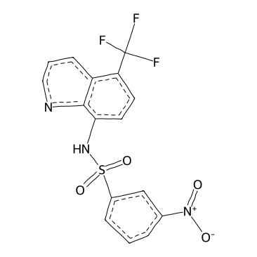 O=[N+]([O-])c1cccc(S(=O)(=O)Nc2ccc(C(F)(F)F)c3cccnc23)c1